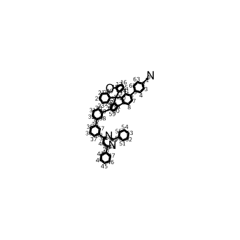 N#Cc1ccc(-c2ccc3c(c2)C2(c4ccccc4Oc4ccccc42)c2cc(-c4cccc(-c5cccc(-c6cc(-c7ccccc7)nc(-c7ccccc7)n6)c5)c4)ccc2-3)cc1